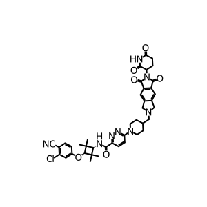 CC1(C)[C@H](NC(=O)c2ccc(N3CCC(CN4Cc5cc6c(cc5C4)C(=O)N(C4CCC(=O)NC4=O)C6=O)CC3)nn2)C(C)(C)[C@H]1Oc1ccc(C#N)c(Cl)c1